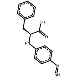 N=Nc1ccc(N[C@@H](Cc2ccccc2)C(=O)O)cc1